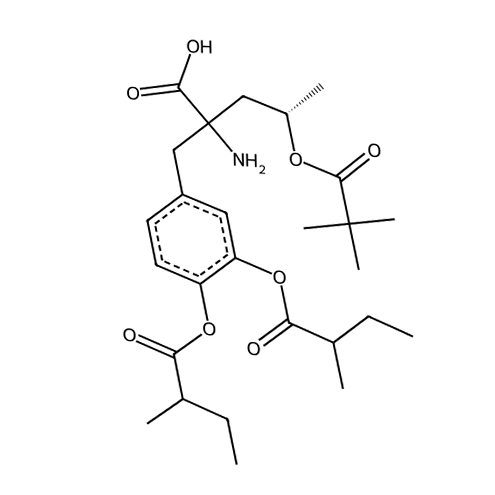 CCC(C)C(=O)Oc1ccc(CC(N)(C[C@H](C)OC(=O)C(C)(C)C)C(=O)O)cc1OC(=O)C(C)CC